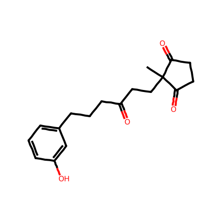 CC1(CCC(=O)CCCc2cccc(O)c2)C(=O)CCC1=O